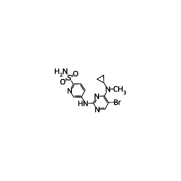 CN(c1nc(Nc2ccc(S(N)(=O)=O)nc2)ncc1Br)C1CC1